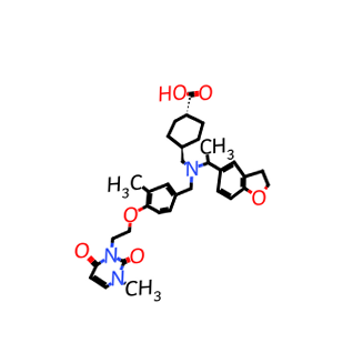 Cc1cc(CN(C[C@H]2CC[C@H](C(=O)O)CC2)C(C)c2ccc3c(c2)CCO3)ccc1OCCn1c(=O)ccn(C)c1=O